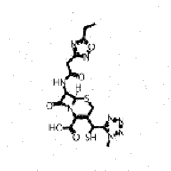 CCc1nc(CC(=O)NC2C(=O)N3C(C(=O)O)=C(C(S)c4nnnn4C)CS[C@H]23)no1